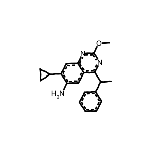 COc1nc(C(C)c2ccccc2)c2cc(N)c(C3CC3)cc2n1